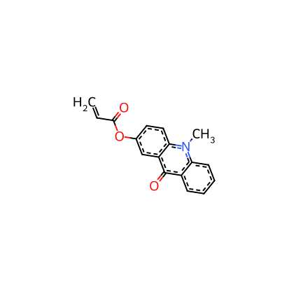 C=CC(=O)Oc1ccc2c(c1)c(=O)c1ccccc1n2C